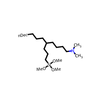 CCCCCCCCCCCCCC(CCCCN(C)C)CCC[Si](OC)(OC)OC